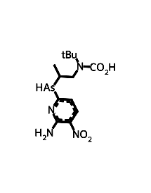 CC(CN(C(=O)O)C(C)(C)C)[AsH]c1ccc([N+](=O)[O-])c(N)n1